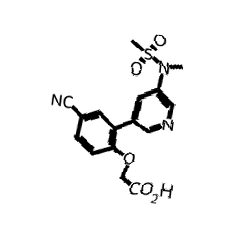 CN(c1cncc(-c2cc(C#N)ccc2OCC(=O)O)c1)S(C)(=O)=O